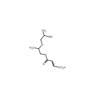 CC(O)COC(C)COC(=O)/C=C/C(=O)O